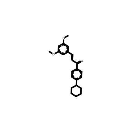 COc1cc(C=CC(=O)c2ccc(C3CCCCC3)cc2)cc(OC)c1